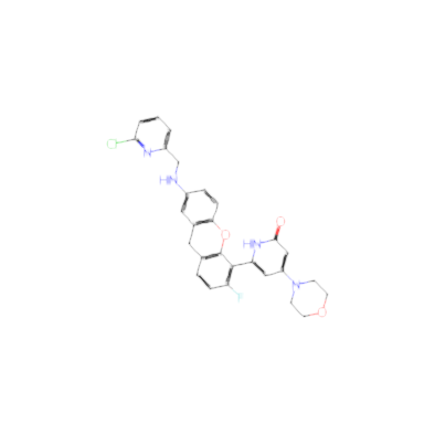 O=c1cc(N2CCOCC2)cc(-c2c(F)ccc3c2Oc2ccc(NCc4cccc(Cl)n4)cc2C3)[nH]1